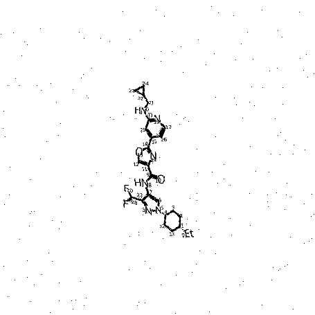 CC[C@H]1CC[C@@H](n2cc(NC(=O)c3coc(-c4ccnc(NCC5CC5)c4)n3)c(C(F)F)n2)CC1